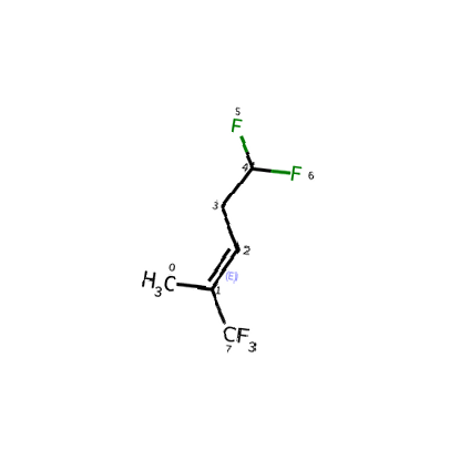 C/C(=C\C[C](F)F)C(F)(F)F